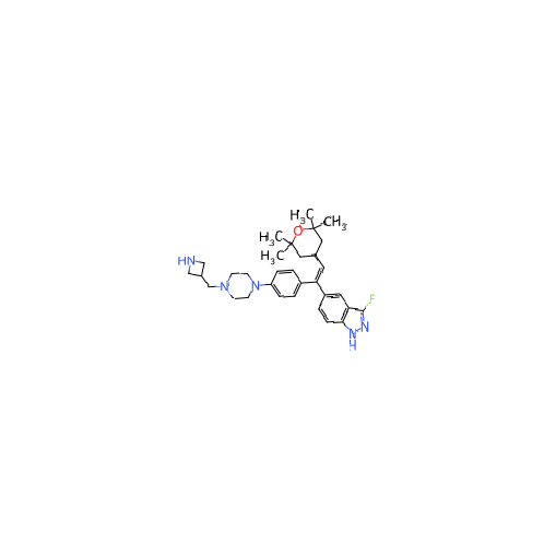 CC1(C)CC(C=C(c2ccc(N3CCN(CC4CNC4)CC3)cc2)c2ccc3[nH]nc(F)c3c2)CC(C)(C)O1